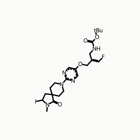 CN1C(=O)C2(CCN(c3ncc(OC/C(=C/F)CNC(=O)OC(C)(C)C)cn3)CC2)CC1I